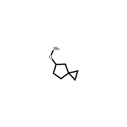 CC(C)(C)OC1CCC2(CC2)C1